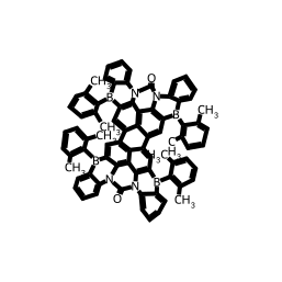 Cc1cccc(C)c1B1c2ccccc2N2C(=O)N3c4ccccc4B(c4c(C)cccc4C)c4cc5c6cc7c8c9c%10c(cc(c%11cc1c2c(c43)c%115)c96)B(c1c(C)cccc1C)c1ccccc1N%10C(=O)N8c1ccccc1B7c1c(C)cccc1C